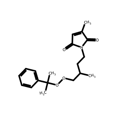 CC1=CC(=O)N(CCC(C)COOC(C)(C)c2ccccc2)C1=O